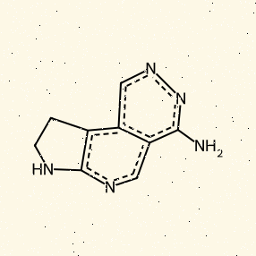 Nc1nncc2c3c(ncc12)NCC3